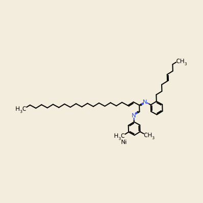 CCCC=CCCCc1ccccc1N=C(C=CCCCCCCCCCCCCCCCCCC)C=Nc1cc(C)cc(C)c1.[Ni]